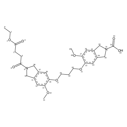 CCOC(=O)CCC(=O)N1Cc2cc(OC)c(OCCCOc3cc4c(cc3OC)CN(C(=O)O)C4)cc2C1